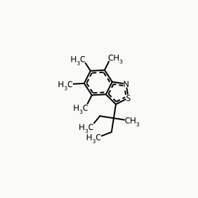 CCC(C)(CC)c1snc2c(C)c(C)c(C)c(C)c12